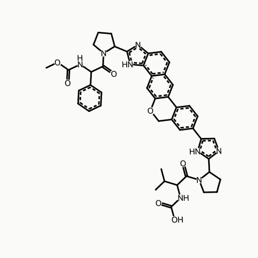 COC(=O)NC(C(=O)N1CCCC1c1nc2ccc3cc4c(cc3c2[nH]1)OCc1cc(-c2cnc(C3CCCN3C(=O)C(NC(=O)O)C(C)C)[nH]2)ccc1-4)c1ccccc1